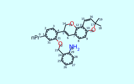 CCCc1ccc(C2=Cc3ccc4c(c3OC2)C=CC(C)(C)O4)c(OCc2ccccc2N)c1